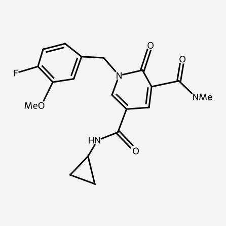 CNC(=O)c1cc(C(=O)NC2CC2)cn(Cc2ccc(F)c(OC)c2)c1=O